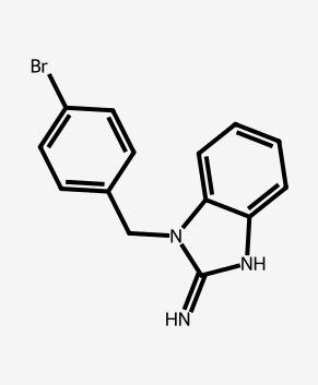 N=c1[nH]c2ccccc2n1Cc1ccc(Br)cc1